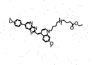 CCOC(=O)CCC[N+](C)(C)CCCCN1C=CC(=Cc2nc3ncc(-c4ccc(OC)cc4)cc3s2)c2ccc(OC)cc21